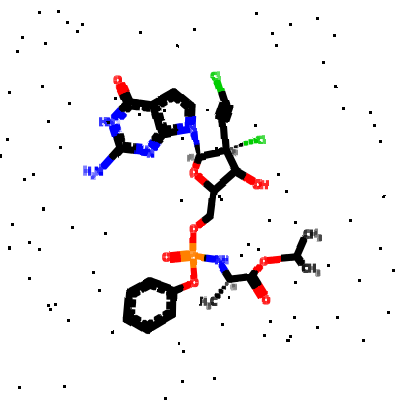 CC(C)OC(=O)[C@H](C)NP(=O)(OCC1O[C@@H](n2ccc3c(=O)[nH]c(N)nc32)[C@@](Cl)(C#CCl)C1O)Oc1ccccc1